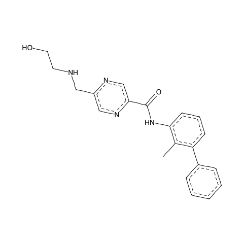 Cc1c(NC(=O)c2cnc(CNCCO)cn2)cccc1-c1ccccc1